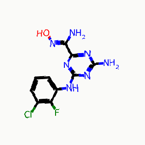 N/C(=N\O)c1nc(N)nc(Nc2cccc(Cl)c2F)n1